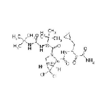 CC(C)(C)NC(=O)N[C@H](C(=O)N1C[C@H]2[C@@H]([C@H]1C(=O)NC(CC1CC1)C(=O)C(N)=O)C2(Cl)Cl)C(C)(C)C